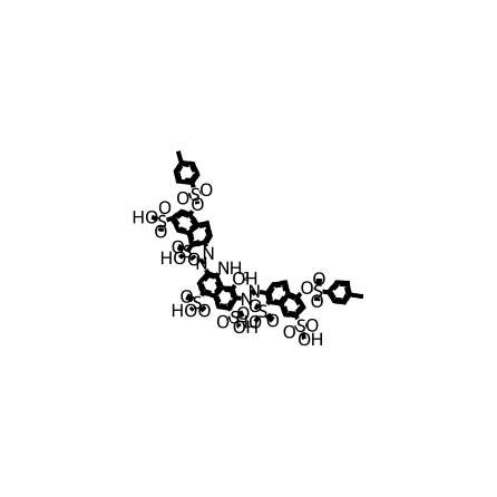 Cc1ccc(S(=O)(=O)Oc2cc(S(=O)(=O)O)cc3c(S(=O)(=O)O)c(N=Nc4cc(S(=O)(=O)O)c5cc(S(=O)(=O)O)c(N=Nc6ccc7c(OS(=O)(=O)c8ccc(C)cc8)cc(S(=O)(=O)O)cc7c6S(=O)(=O)O)c(O)c5c4N)ccc23)cc1